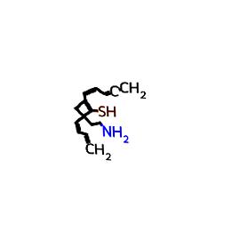 C=C=C/C=C\C1=C(S)C(/C=C\C=C)(CCN)C1